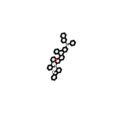 c1ccc(-c2ccccc2N(c2ccc3c(ccc4c5ccc(N(c6ccccc6)c6ccc7ccccc7c6)cc5c5ccccc5c34)c2)c2cccc3c2oc2ccccc23)cc1